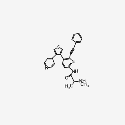 CNC(C)C(=O)Nc1ccc(-c2cscc2-c2ccncc2)c(C#Cc2ccccc2)n1